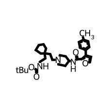 Cc1ccc(-c2ccoc2C(=O)NC2CCN(CCC3(CCNC(=O)OC(C)(C)C)CCCCC3)CC2)cc1